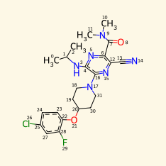 CC(C)Nc1nc(C(=O)N(C)C)c(C#N)nc1N1CCC(Oc2ccc(Cl)cc2F)CC1